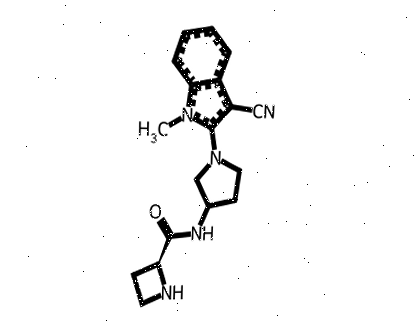 Cn1c(N2CCC(NC(=O)[C@@H]3CCN3)C2)c(C#N)c2ccccc21